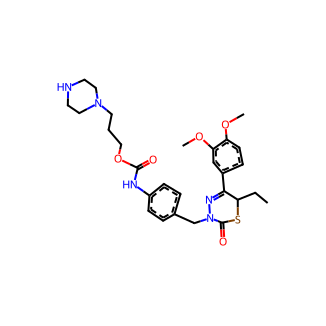 CCC1SC(=O)N(Cc2ccc(NC(=O)OCCCN3CCNCC3)cc2)N=C1c1ccc(OC)c(OC)c1